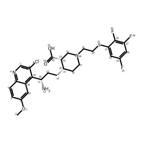 COc1ccc2ncc(Cl)c([C@@H](N)CC[C@H]3CCN(CCSc4cc(F)cc(F)c4F)C[C@H]3C(=O)O)c2c1